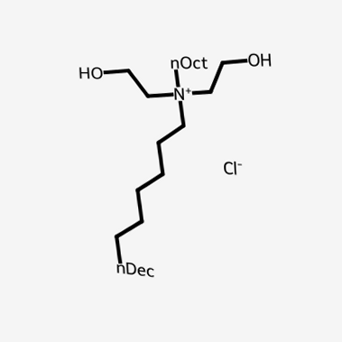 CCCCCCCCCCCCCCCC[N+](CCO)(CCO)CCCCCCCC.[Cl-]